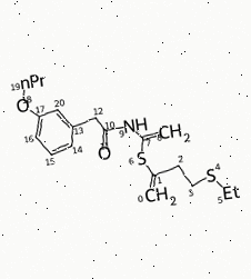 C=C(CCSCC)SC(=C)NC(=O)Cc1cccc(OCCC)c1